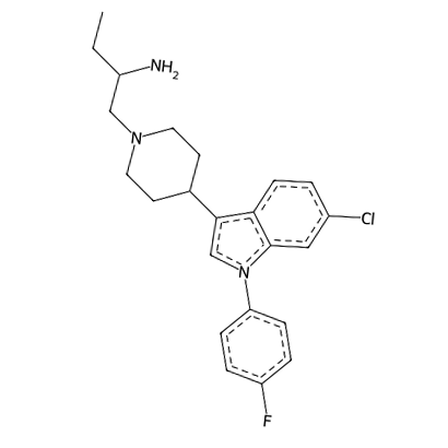 CCC(N)CN1CCC(c2cn(-c3ccc(F)cc3)c3cc(Cl)ccc23)CC1